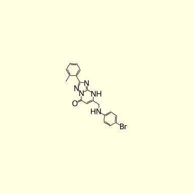 Cc1ccccc1-c1nc2[nH]c(CNc3ccc(Br)cc3)cc(=O)n2n1